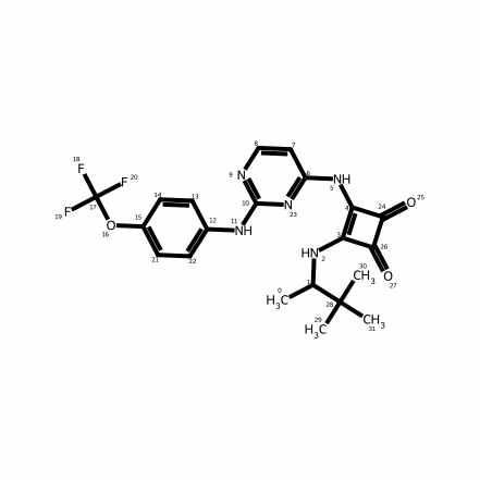 CC(Nc1c(Nc2ccnc(Nc3ccc(OC(F)(F)F)cc3)n2)c(=O)c1=O)C(C)(C)C